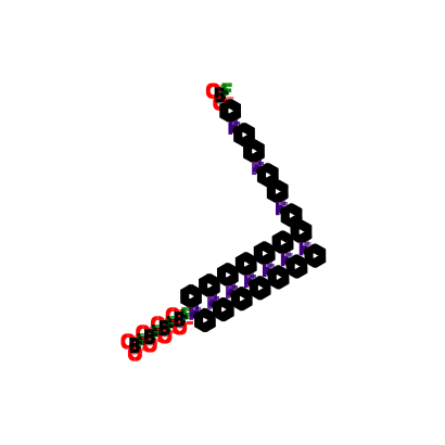 [O-]B([O-])F.[O-]B([O-])F.[O-]B([O-])F.[O-]B([O-])F.[O-]B([O-])F.c1ccc([I+]c2ccccc2)cc1.c1ccc([I+]c2ccccc2)cc1.c1ccc([I+]c2ccccc2)cc1.c1ccc([I+]c2ccccc2)cc1.c1ccc([I+]c2ccccc2)cc1.c1ccc([I+]c2ccccc2)cc1.c1ccc([I+]c2ccccc2)cc1.c1ccc([I+]c2ccccc2)cc1.c1ccc([I+]c2ccccc2)cc1.c1ccc([I+]c2ccccc2)cc1